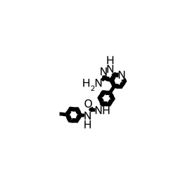 Cc1ccc(NC(=O)Nc2ccc(-c3ccnc4[nH]nc(N)c34)cc2)cc1